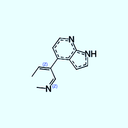 C/C=C(\C=N/C)c1ccnc2[nH]ccc12